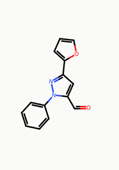 O=Cc1cc(-c2ccco2)nn1-c1ccccc1